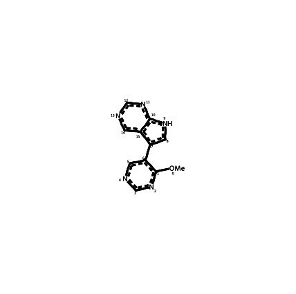 COc1ncncc1-c1c[nH]c2ncncc12